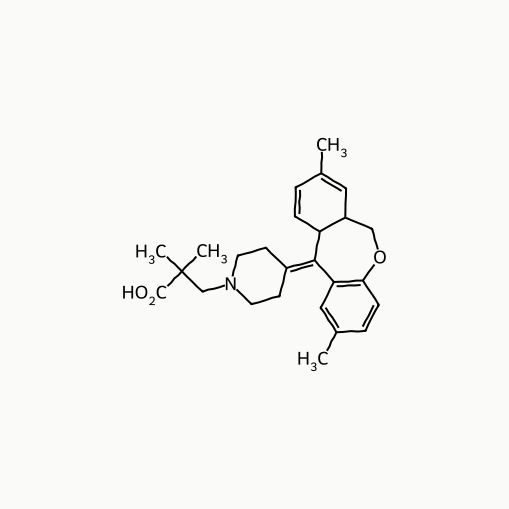 CC1=CC2COc3ccc(C)cc3C(=C3CCN(CC(C)(C)C(=O)O)CC3)C2C=C1